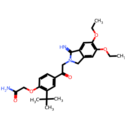 CCOc1cc2c(cc1OCC)C(=N)N(CC(=O)c1ccc(OCC(N)=O)c(C(C)(C)C)c1)C2